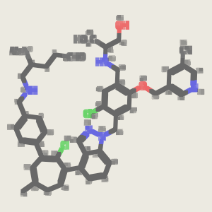 CNC(CCC=O)CNCc1ccc(C2=C(Cl)C(c3cccc4c3cnn4Cc3cc(OCc4cncc(C#N)c4)c(CNC(CO)C(=O)O)cc3Cl)=CCC(C)=C2)cc1